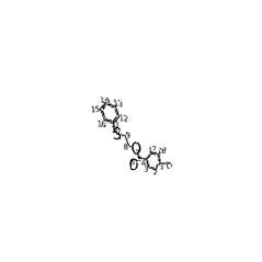 Cc1ccc(C(=O)OCCSc2ccccc2)cc1